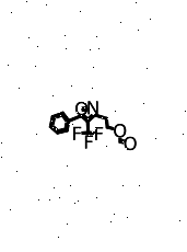 O=COCCc1noc(-c2ccccc2)c1C(F)(F)F